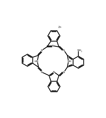 Nc1cccc2c3nc4nc(nc5[nH]c(nc6nc(nc([nH]3)c12)-c1ccccc1-6)c1ccccc51)-c1ccccc1-4.[Zn]